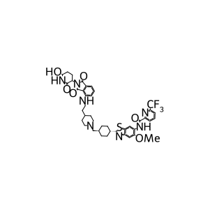 COc1cc2nc([C@H]3CC[C@H](CN4CCC(CCNc5cccc6c5C(=O)N(C5CCC(O)NC5=O)C6=O)CC4)CC3)sc2cc1NC(=O)c1cccc(C(F)(F)F)n1